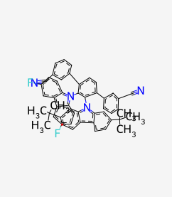 CC(C)(C)c1ccc2c3ccc(C(C)(C)C)cc3n(-c3c(-c4cccc(C#N)c4)ccc(-c4cccc(C#N)c4)c3-n3c4ccc(F)cc4c4cc(F)ccc43)c2c1